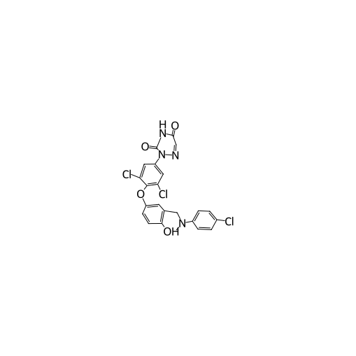 CN(Cc1cc(Oc2c(Cl)cc(-n3ncc(=O)[nH]c3=O)cc2Cl)ccc1O)c1ccc(Cl)cc1